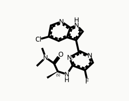 C[C@H](Nc1nc(-c2c[nH]c3ncc(Cl)cc23)ncc1F)C(=O)N(C)C